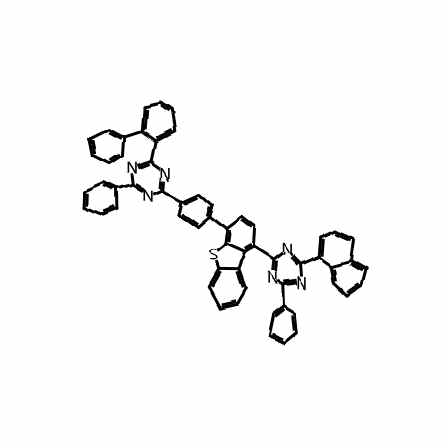 c1ccc(-c2nc(-c3ccc(-c4ccc(-c5nc(-c6ccccc6)nc(-c6cccc7ccccc67)n5)c5c4sc4ccccc45)cc3)nc(-c3ccccc3-c3ccccc3)n2)cc1